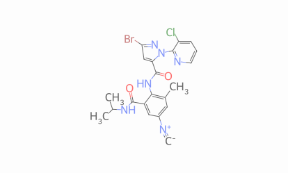 [C-]#[N+]c1cc(C)c(NC(=O)c2cc(Br)nn2-c2ncccc2Cl)c(C(=O)NC(C)C)c1